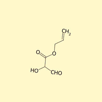 C=CCOC(=O)C(O)C=O